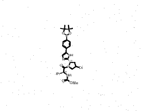 CCC1C[C@@H](c2ncc(-c3ccc(B4OC(C)(C)C(C)(C)O4)cc3)[nH]2)N(C(=O)[C@@H](NC(=O)OC)C(C)C)C1